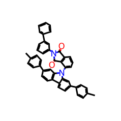 Cc1ccc(-c2ccc3c4ccc(-c5ccc(C)cc5)cc4n(-c4cccc5c4C(=O)N(c4cccc(-c6ccccc6)c4)C5=O)c3c2)cc1